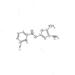 Cc1sc(SNc2cccc(F)n2)cc1N